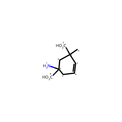 CC1(C(=O)O)C=CCC(N)(C(=O)O)C1